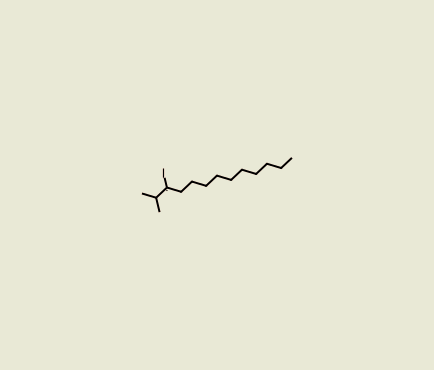 CCCCCCCCCC[C](I)C(C)C